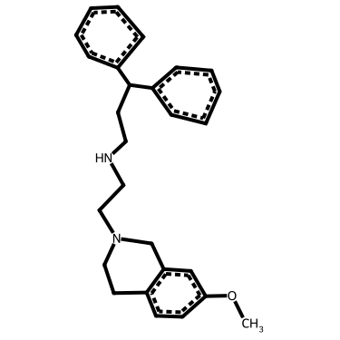 COc1ccc2c(c1)CN(CCNCCC(c1ccccc1)c1ccccc1)CC2